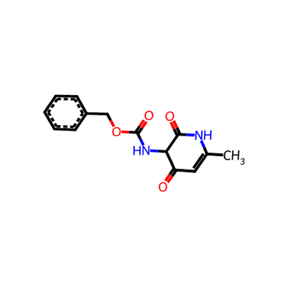 CC1=CC(=O)C(NC(=O)OCc2ccccc2)C(=O)N1